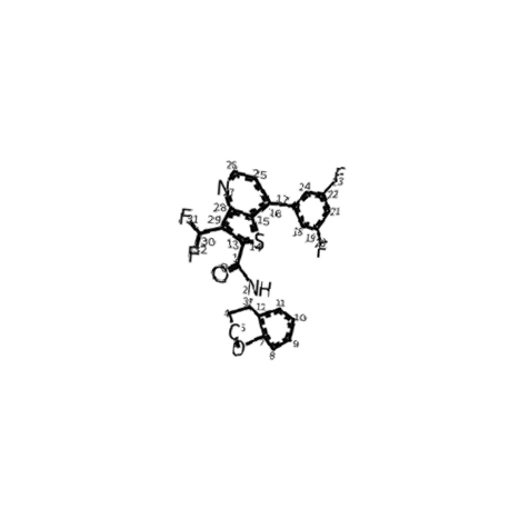 O=C(N[C@H]1CCOc2ccccc21)c1sc2c(-c3cc(F)cc(F)c3)ccnc2c1C(F)F